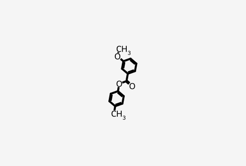 COc1cccc(C(=O)Oc2ccc(C)cc2)c1